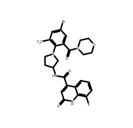 O=C(NC1CCN(c2c(C(=O)N3CCOCC3)cc(Br)cc2C(F)(F)F)C1)c1cc(=O)[nH]c2c(F)cccc12